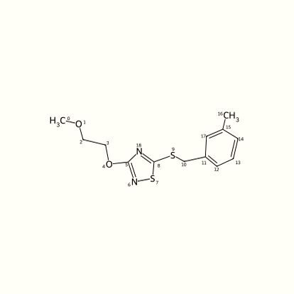 COCCOc1nsc(SCc2cccc(C)c2)n1